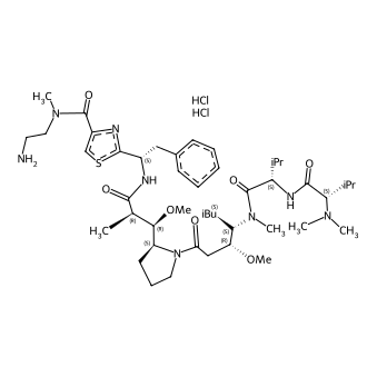 CC[C@H](C)[C@@H]([C@@H](CC(=O)N1CCC[C@H]1[C@H](OC)[C@@H](C)C(=O)N[C@@H](Cc1ccccc1)c1nc(C(=O)N(C)CCN)cs1)OC)N(C)C(=O)[C@@H](NC(=O)[C@H](C(C)C)N(C)C)C(C)C.Cl.Cl